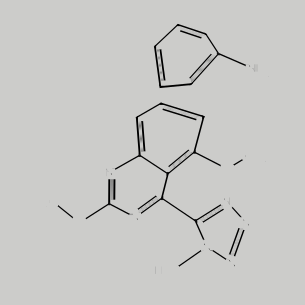 COc1nc(-c2nnnn2C)c2c(OC)cccc2n1.Nc1ccccc1